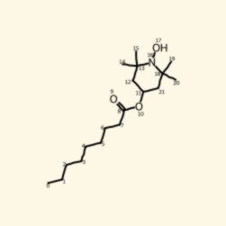 CCCCCCCCC(=O)OC1CC(C)(C)N(O)C(C)(C)C1